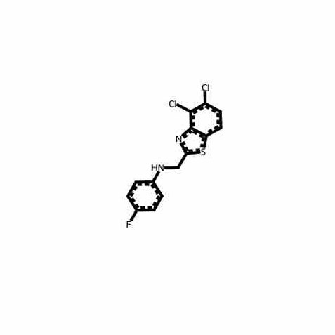 Fc1ccc(NCc2nc3c(Cl)c(Cl)ccc3s2)cc1